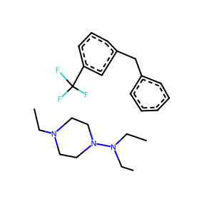 CCN1CCN(N(CC)CC)CC1.FC(F)(F)c1cccc(Cc2ccccc2)c1